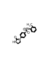 Cc1ccccc1NS(=O)(=O)c1ccc(N2CCNC2=O)cc1